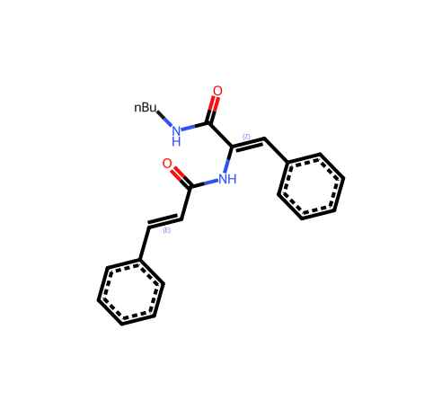 CCCCNC(=O)/C(=C/c1ccccc1)NC(=O)/C=C/c1ccccc1